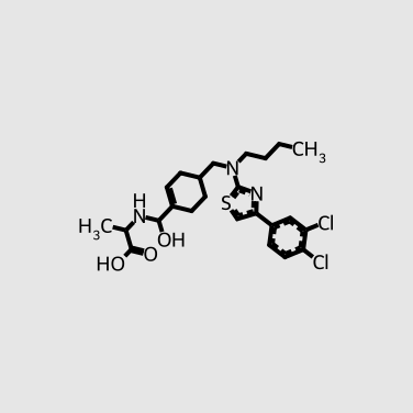 CCCCN(CC1CC=C(C(O)NC(C)C(=O)O)CC1)c1nc(-c2ccc(Cl)c(Cl)c2)cs1